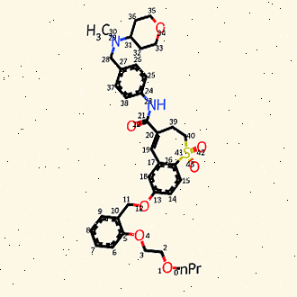 CCCOCCOc1ccccc1COc1ccc2c(c1)C=C(C(=O)Nc1ccc(CN(C)C3CCOCC3)cc1)CCS2(=O)=O